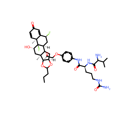 CCCC1O[C@@H]2CC3[C@@H]4C[C@H](F)C5=CC(=O)C=C[C@]5(C)[C@@]4(F)[C@@H](O)C[C@]3(C)[C@]2(C(=O)COc2ccc(NC(=O)[C@H](CCCNC(N)=O)NC(=O)C(N)C(C)C)cc2)O1